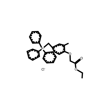 CCOC(=O)COc1ccc(C[P+](c2ccccc2)(c2ccccc2)c2ccccc2)cc1C.[Cl-]